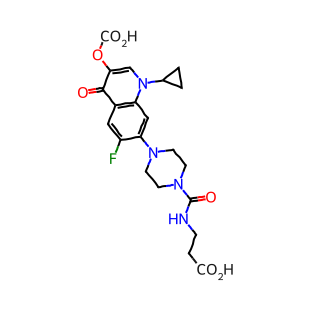 O=C(O)CCNC(=O)N1CCN(c2cc3c(cc2F)c(=O)c(OC(=O)O)cn3C2CC2)CC1